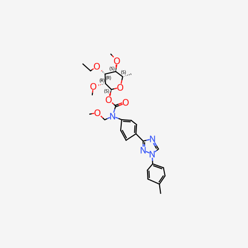 CCO[C@@H]1[C@@H](OC)[C@H](C)O[C@@H](OC(=O)N(COC)c2ccc(-c3ncn(-c4ccc(C)cc4)n3)cc2)[C@@H]1OC